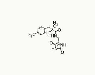 CC(C)(Cc1ccc(C(F)(F)F)cc1)C(=O)NC[C@H]1NC(=O)NC1=O